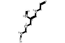 C=CCS/C=C(/COCSF)N=C